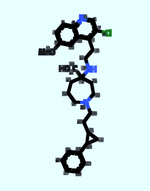 COc1ccc2ncc(Cl)c(CCNC3(C(=O)O)CCCN(CCC4CC4c4ccccc4)CC3)c2c1